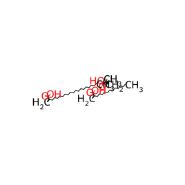 C=C(C)C(=O)O.C=C(CCCCCCCCCCCCC)C(=O)O.C=C(CCCCCCCCCCCCCCCCCCC)C(=O)O